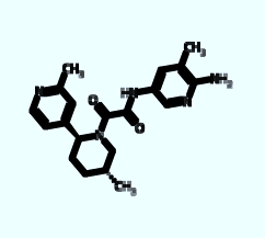 Cc1cc([C@@H]2CC[C@@H](C)CN2C(=O)C(=O)Nc2cnc(N)c(C)c2)ccn1